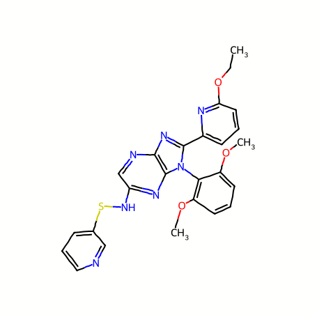 CCOc1cccc(-c2nc3ncc(NSc4cccnc4)nc3n2-c2c(OC)cccc2OC)n1